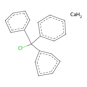 ClC(c1ccccc1)(c1ccccc1)c1ccccc1.[CaH2]